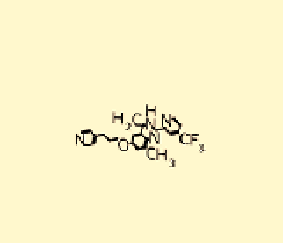 C=C1NC(c2cc(C(F)(F)F)ccn2)=Nc2c(C)cc(OCCCc3ccncc3)cc21